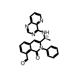 C[C@H](Nc1ncnc2cccnc12)c1cc2cccc(C=O)c2c(=O)n1-c1ccccc1